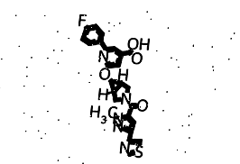 Cn1nc(-c2cscn2)cc1C(=O)N1C[C@@H]2C(Oc3cc(C(=O)O)cc(-c4ccc(F)cc4)n3)[C@@H]2C1